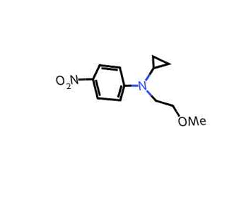 COCCN(c1ccc([N+](=O)[O-])cc1)C1CC1